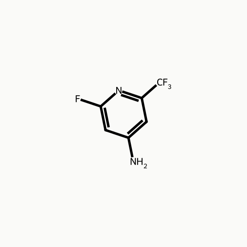 Nc1cc(F)nc(C(F)(F)F)c1